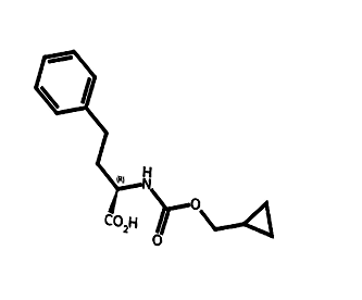 O=C(N[C@H](CCc1ccccc1)C(=O)O)OCC1CC1